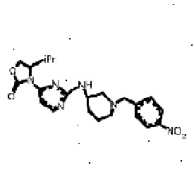 CC(C)C1COC(=O)N1c1ccnc(NC2CCCN(Cc3ccc([N+](=O)[O-])cc3)C2)n1